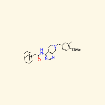 COc1ccc(CN2CCc3c(ncnc3NC(=O)CC34CC5CC(CC(C5)C3)C4)C2)cc1C